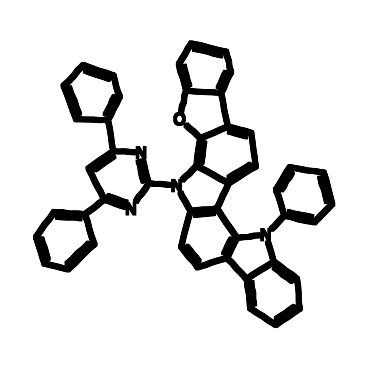 c1ccc(-c2cc(-c3ccccc3)nc(-n3c4ccc5c6ccccc6n(-c6ccccc6)c5c4c4ccc5c6ccccc6oc5c43)n2)cc1